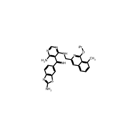 Cc1cccc2cc(CNc3ncnc(N)c3C(=N)c3ccc4nc(N)sc4c3)nc(OC(C)C)c12